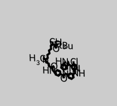 CN(C/C=C/C(=O)Nc1ccc(C(=O)Nc2cccc(Nc3ncc(Cl)c(-c4c[nH]c5ccccc45)n3)c2)cc1)CCCCCCN(C)C(=O)OC(C)(C)C